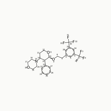 FC(F)(F)c1cc(CCO[C@@H]2OCCC(N3CCOCC3)C2c2ccccc2)cc(C(F)(F)F)c1